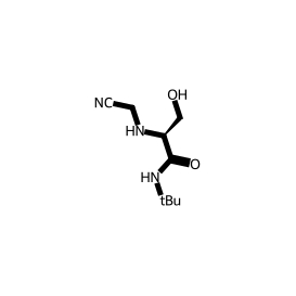 CC(C)(C)NC(=O)[C@H](CO)NCC#N